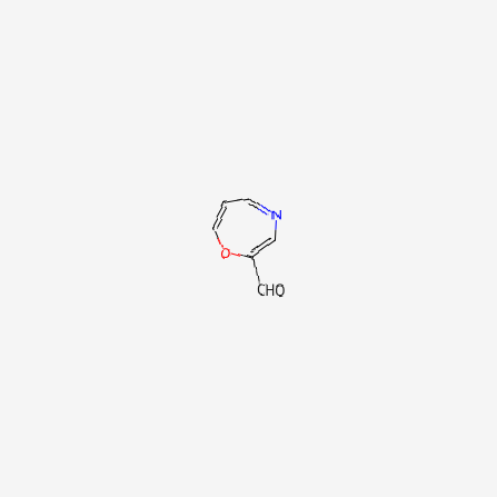 O=CC1=CN=CC=CO1